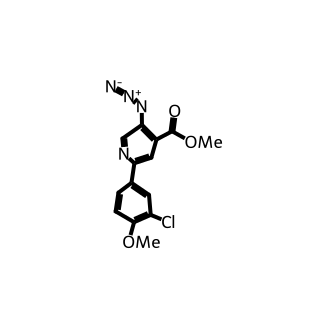 COC(=O)c1cc(-c2ccc(OC)c(Cl)c2)ncc1N=[N+]=[N-]